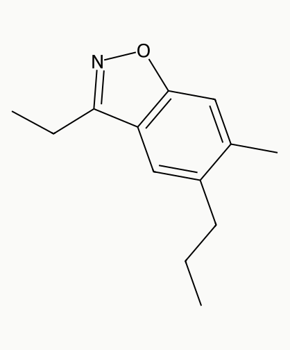 CCCc1cc2c(CC)noc2cc1C